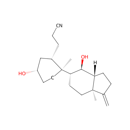 C=C1CC[C@H]2[C@H](O)[C@@H]([C@@]3(C)CC[C@H](O)C[C@@H]3CCC#N)CC[C@]12C